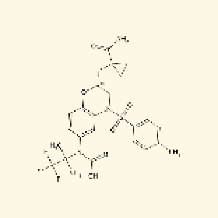 Cc1ccc(S(=O)(=O)N2C[C@@H](CC3(C(N)=O)CC3)Oc3ccc(N(C(=O)O)C(C)(C)C(F)(F)F)cc32)cc1